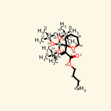 C=C(C(=O)OCCC[SiH3])C1([Si](O[Si](C)(C)C)(O[Si](C)(C)C)O[Si](C)(C)C)CCCCO1